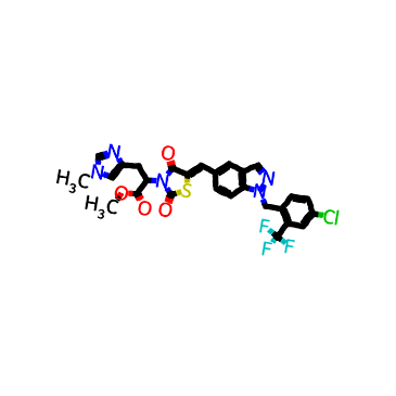 COC(=O)C(Cc1cn(C)cn1)N1C(=O)S/C(=C\c2ccc3c(cnn3Cc3ccc(Cl)cc3C(F)(F)F)c2)C1=O